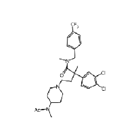 CC(=O)N(C)C1CCN(CCC(C)(C(=O)N(C)Cc2ccc(C(F)(F)F)cc2)c2ccc(Cl)c(Cl)c2)CC1